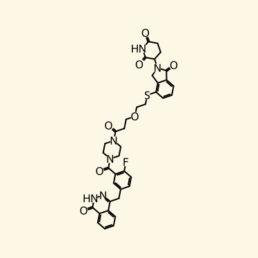 O=C1CCC(N2Cc3c(SCCOCCC(=O)N4CCN(C(=O)c5cc(Cc6n[nH]c(=O)c7ccccc67)ccc5F)CC4)cccc3C2=O)C(=O)N1